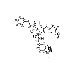 COc1ccc(CC2CC(C(=O)NCc3ccc4c(c3)nnn4C)N(C(=O)C(N)CCc3ccccc3)C2)cc1